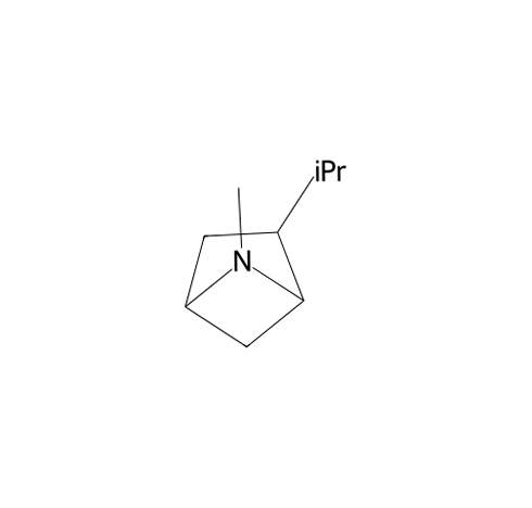 CC(C)C1CC2CC1N2C